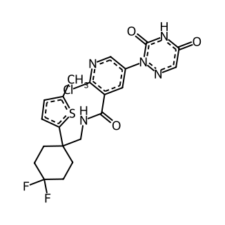 Cc1ccc(C2(CNC(=O)c3cc(-n4ncc(=O)[nH]c4=O)cnc3Cl)CCC(F)(F)CC2)s1